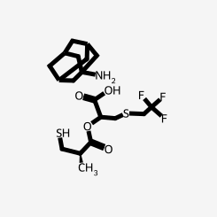 C[C@@H](CS)C(=O)OC(CSCC(F)(F)F)C(=O)O.NC12CC3CC(CC(C3)C1)C2